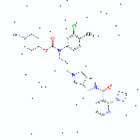 CC(=O)N1CCC(OC(=O)N(CCCN2CC3CN(C(=O)c4cccnc4N4CCC4)CC3C2)c2ccc(C)c(Cl)c2)CC1